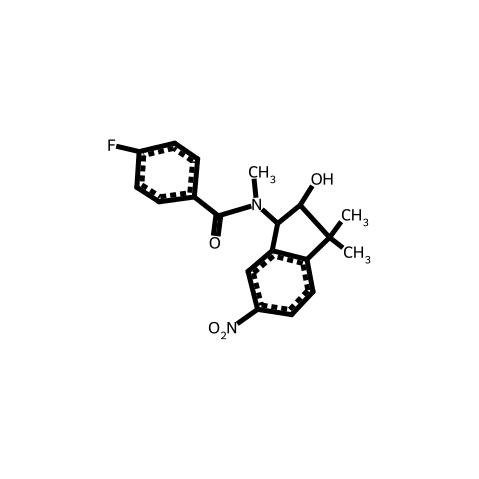 CN(C(=O)c1ccc(F)cc1)C1c2cc([N+](=O)[O-])ccc2C(C)(C)C1O